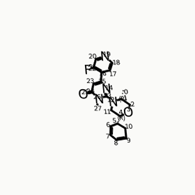 C[C@@H]1CO[C@H](C2C=CC=CC2)CN1c1nc(-c2ccncc2F)cc(=O)n1C